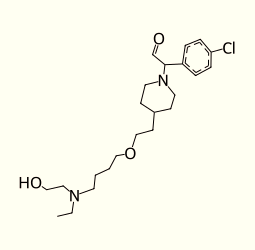 CCN(CCO)CCCCOCCC1CCN(C(C=O)c2ccc(Cl)cc2)CC1